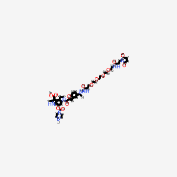 COC(=O)c1c(C)[nH]c2c(OC(=O)N3CCN(C)CC3)cc3c(c12)CCN3C(=O)c1cc2cc(/C(C)=N/NC(=O)CCOCCOCCOCCOCCNC(=O)CCN3C(=O)C=CC3=O)ccc2o1